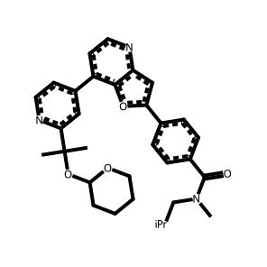 CC(C)CN(C)C(=O)c1ccc(-c2cc3nccc(-c4ccnc(C(C)(C)OC5CCCCO5)c4)c3o2)cc1